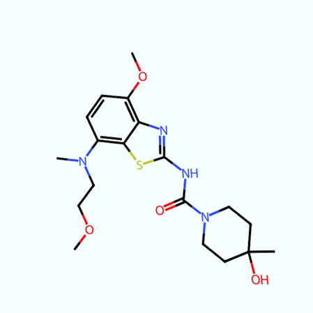 COCCN(C)c1ccc(OC)c2nc(NC(=O)N3CCC(C)(O)CC3)sc12